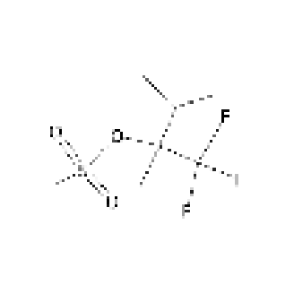 CC(C)C(C)(OS(C)(=O)=O)C(F)(F)F